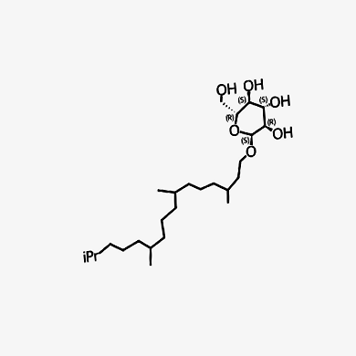 CC(C)CCCC(C)CCCC(C)CCCC(C)CCO[C@H]1O[C@H](CO)[C@@H](O)[C@H](O)[C@H]1O